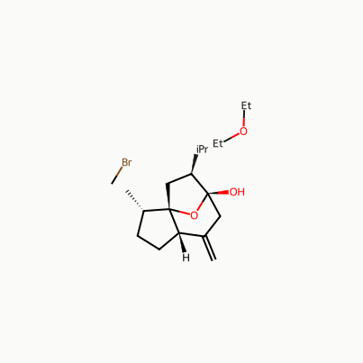 C=C1C[C@]2(O)O[C@@]3(C[C@H]2C(C)C)[C@@H](C)CC[C@@H]13.CBr.CCOCC